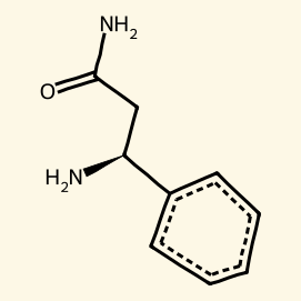 NC(=O)C[C@H](N)c1ccccc1